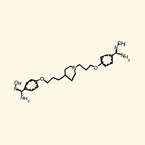 N/C(=N\O)c1ccc(OCCCN2CCC(CCCOc3ccc(/C(N)=N\O)cc3)CC2)cc1